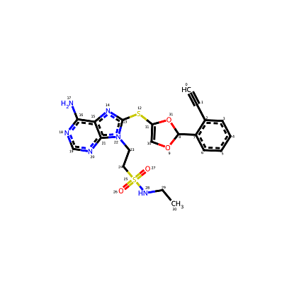 C#Cc1ccccc1C1OC=C(Sc2nc3c(N)ncnc3n2CCS(=O)(=O)NCC)O1